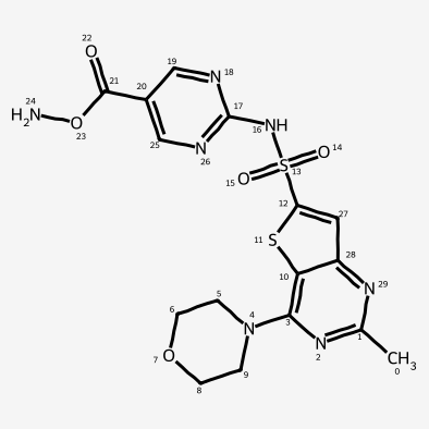 Cc1nc(N2CCOCC2)c2sc(S(=O)(=O)Nc3ncc(C(=O)ON)cn3)cc2n1